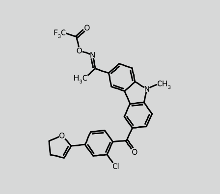 C/C(=N\OC(=O)C(F)(F)F)c1ccc2c(c1)c1cc(C(=O)c3ccc(C4=CCCO4)cc3Cl)ccc1n2C